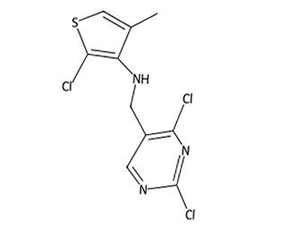 Cc1csc(Cl)c1NCc1cnc(Cl)nc1Cl